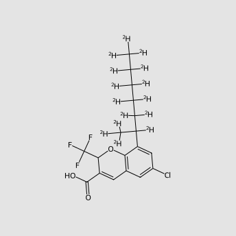 [2H]C([2H])([2H])C([2H])([2H])C([2H])([2H])C([2H])([2H])C([2H])([2H])C([2H])(c1cc(Cl)cc2c1OC(C(F)(F)F)C(C(=O)O)=C2)C([2H])([2H])[2H]